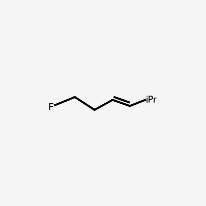 CC(C)C=CCCF